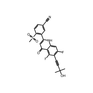 CC(C)(O)C#Cc1c(F)cc2[nH]c(-c3cc(C#N)ccc3S(C)(=O)=O)cc(=O)c2c1F